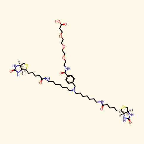 O=C(O)CCOCCOCCOCCNC(=O)c1ccc(CN(CCCCCCCNC(=O)CCCC[C@@H]2SC[C@@H]3NC(=O)N[C@@H]32)CCCCCCCNC(=O)CCCC[C@@H]2SC[C@@H]3NC(=O)N[C@@H]32)cc1